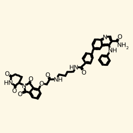 NC(=O)c1cnc2ccc(-c3ccc(C(=O)NCCCCNC(=O)COc4cccc5c4C(=O)N(C4CCC(=O)NC4=O)C5=O)cc3)cc2c1Nc1ccccc1